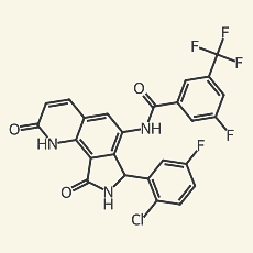 O=C(Nc1cc2ccc(=O)[nH]c2c2c1C(c1cc(F)ccc1Cl)NC2=O)c1cc(F)cc(C(F)(F)F)c1